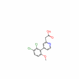 COc1ccc(Cl)c(Cl)c1-c1ccnc(CC(=O)O)c1